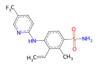 C=Cc1c(Nc2ccc(C(F)(F)F)cn2)ccc(S(N)(=O)=O)c1C